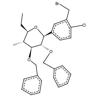 CC[C@H]1O[C@@H](c2ccc(Cl)c(CBr)c2)[C@H](OCc2ccccc2)[C@@H](OCc2ccccc2)[C@@H]1C